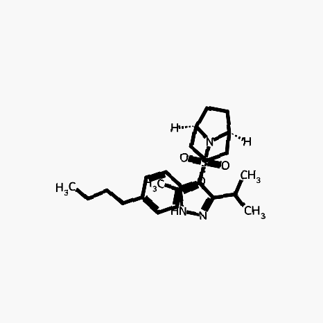 CCCCc1ccc(O[C@@H]2C[C@H]3CC[C@@H](C2)N3S(=O)(=O)c2c(C(C)C)n[nH]c2C)cc1